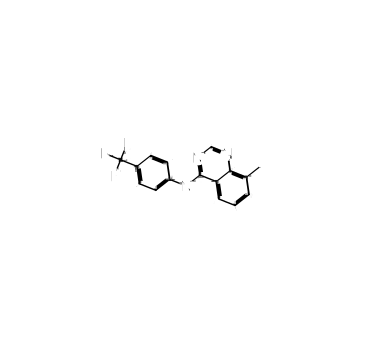 Cc1cccc2c(Nc3ccc(C(F)(F)F)cc3)ncnc12